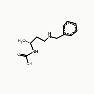 C[C@H](CCNCc1ccccc1)NC(=O)O